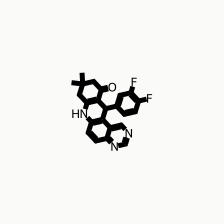 CC1(C)CC(=O)C2=C(C1)Nc1ccc3ncncc3c1C2c1ccc(F)c(F)c1